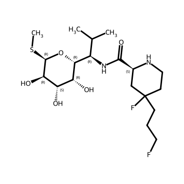 CS[C@H]1O[C@H]([C@H](NC(=O)[C@@H]2CC(F)(CCCF)CCN2)C(C)C)[C@H](O)[C@H](O)[C@H]1O